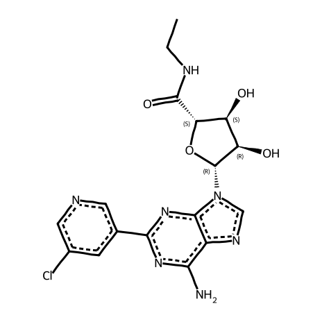 CCNC(=O)[C@H]1O[C@@H](n2cnc3c(N)nc(-c4cncc(Cl)c4)nc32)[C@H](O)[C@@H]1O